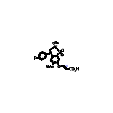 CCCC[C@H]1CN(c2ccc(F)cc2)c2cc(SC)c(O/C=C/C(=O)O)cc2S(=O)(=O)C1